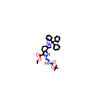 CCOC(=O)c1c2c(nn1CCNC(=O)OC(C)(C)C)C1=C(CC2)NN(C(c2ccccc2)(c2ccccc2)c2ccccc2)C1